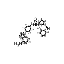 N#Cc1ccc(C(=O)NCc2ccc(-n3cnc4c(N)ncnc43)cc2)n1Cc1ccccc1